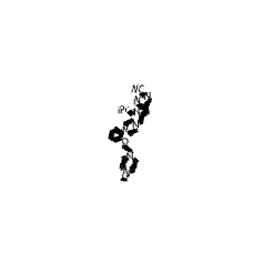 CC(C)Cn1c(CN2CCN(c3ccccc3OCCN3CCN(C)CC3)CC2)cc2cnc(C#N)nc21